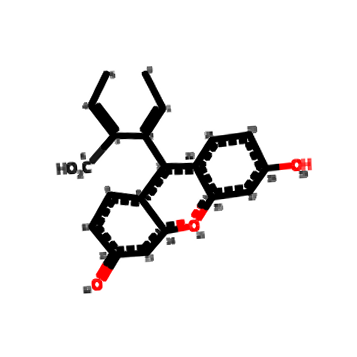 C/C=C(\C(=C/C)C(=O)O)c1c2ccc(=O)cc-2oc2cc(O)ccc12